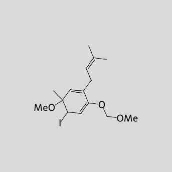 COCOC1=CC(I)C(C)(OC)C=C1CC=C(C)C